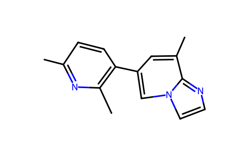 Cc1ccc(-c2cc(C)c3nccn3c2)c(C)n1